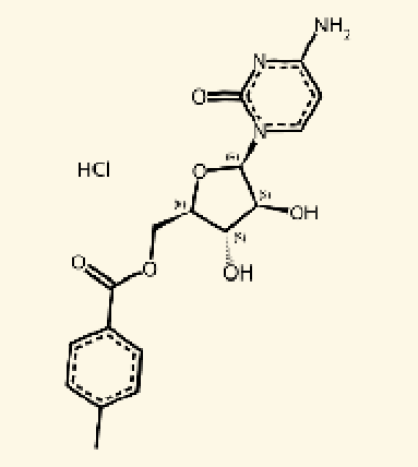 Cc1ccc(C(=O)OC[C@H]2O[C@@H](n3ccc(N)nc3=O)[C@@H](O)[C@@H]2O)cc1.Cl